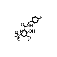 COc1cc(S(C)(=O)=O)nc(C(=O)NCc2ccc(F)cc2)c1O